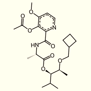 COc1ccnc(C(=O)N[C@@H](C)C(=O)O[C@H](C(C)C)[C@H](C)OCC2CCC2)c1OC(C)=O